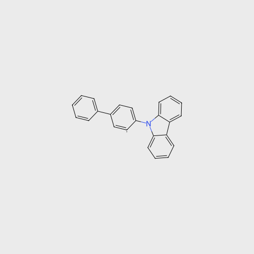 [c]1cc(-c2ccccc2)ccc1-n1c2ccccc2c2ccccc21